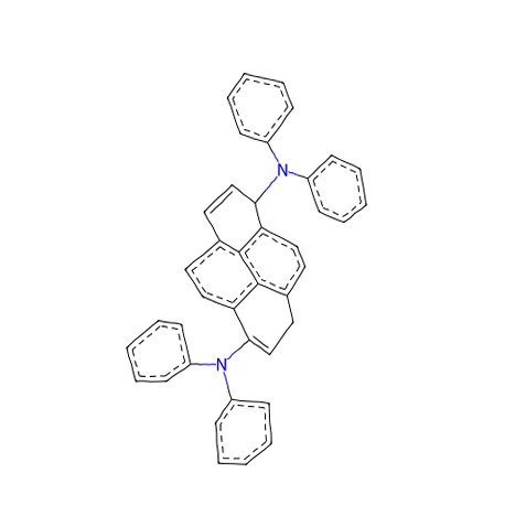 C1=CC(N(c2ccccc2)c2ccccc2)c2ccc3c4c(ccc1c24)C(N(c1ccccc1)c1ccccc1)=CC3